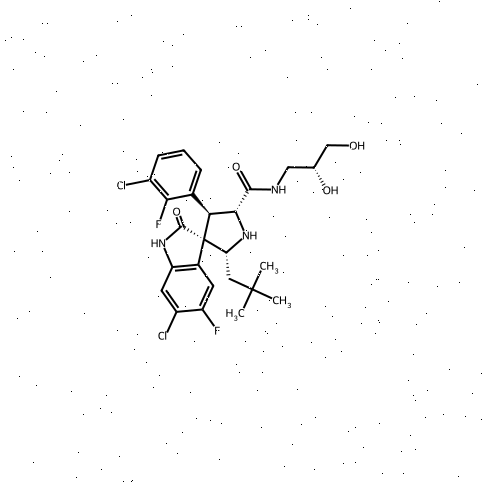 CC(C)(C)C[C@H]1N[C@@H](C(=O)NC[C@@H](O)CO)[C@H](c2cccc(Cl)c2F)[C@@]12C(=O)Nc1cc(Cl)c(F)cc12